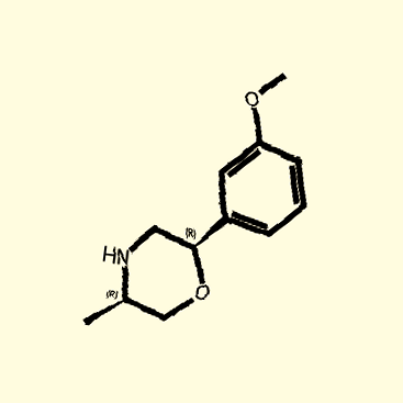 COc1cccc([C@@H]2CN[C@H](C)CO2)c1